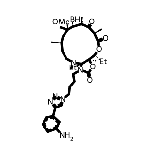 B[C@@H]1[C@@H](C)C(=O)[C@@H](C)C(=O)O[C@H](CC)[C@@]2(C)OC(=O)N(CCCCn3cc(-c4cccc(N)c4)nn3)[C@]2(CC)N(C)CC[C@@H](C)C[C@@]1(C)OC